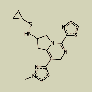 Cn1ccc(C2=C3CC(NSC4CC4)CN3C(c3nccs3)=NC2)n1